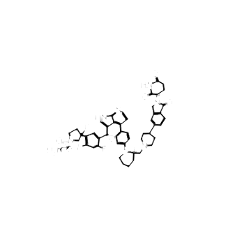 C[C@]1(CN2CCC(c3ccc4c(c3)CN([C@H]3CCC(=O)NC3=O)C4=O)CC2)CCCCN1c1ccc(-c2ccnc3[nH]cc(C(=O)c4cc(C5(F)CCN(S(N)(=O)=O)C5)c(F)cc4F)c23)cc1